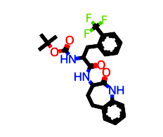 CC(C)(C)OC(=O)NC(Cc1ccccc1C(F)(F)F)C(=O)NC1CCc2ccccc2NC1=O